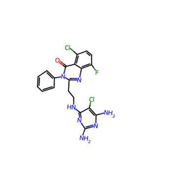 Nc1nc(N)c(Cl)c(NCCc2nc3c(F)ccc(Cl)c3c(=O)n2-c2ccccc2)n1